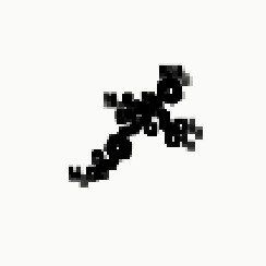 COC(=O)Cc1ccc(CCn2c(=O)c3c(nc(N4CCCC(N)C4)n3CC=C(C)C)n(C)c2=O)cc1